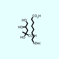 CC(O)(CC(O)CO)C(=O)O.CCCCCCCCCCCCCCCCCC(=O)O